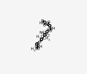 CC(C)(c1ccc(OCc2ccnc(NS(C)(=O)=O)n2)cc1)c1cc(Cl)c(N2CCC(OC(=O)Nc3ccc4c(c3)CN(C3CCC(=O)NC3=O)C4=O)CC2)c(C#N)c1